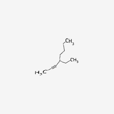 CC#CC(CC)CCCC